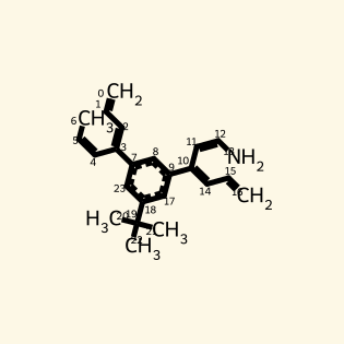 C=C/C=C(\C=C/C)c1cc(C(/C=C\N)=C/C=C)cc(C(C)(C)C)c1